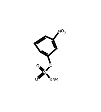 CNS(=O)(=O)Oc1cccc([N+](=O)[O-])c1